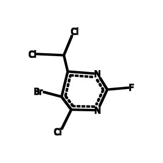 Fc1nc(Cl)c(Br)c(C(Cl)Cl)n1